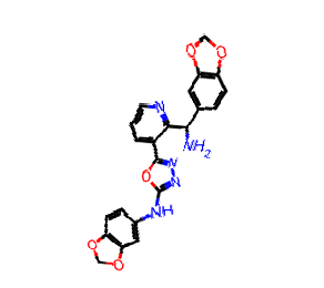 NC(c1ccc2c(c1)OCO2)c1ncccc1-c1nnc(Nc2ccc3c(c2)OCO3)o1